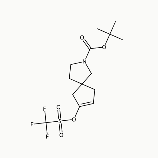 CC(C)(C)OC(=O)N1CCC2(CC=C(OS(=O)(=O)C(F)(F)F)C2)C1